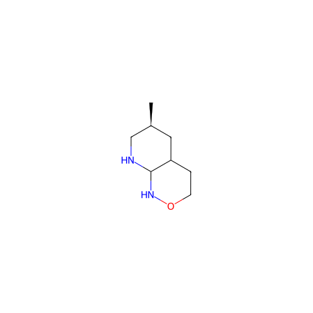 C[C@@H]1CNC2NOCCC2C1